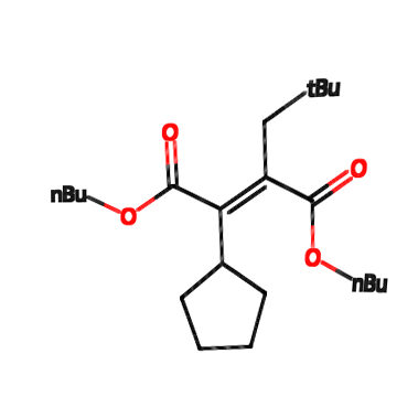 CCCCOC(=O)C(CC(C)(C)C)=C(C(=O)OCCCC)C1CCCC1